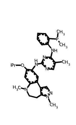 Cc1cnc(Nc2cc3c(cc2OC(C)C)N(C)CCc2c-3cnn2C)nc1Nc1ccccc1P(C)C